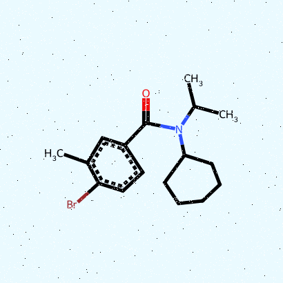 Cc1cc(C(=O)N(C(C)C)C2CCCCC2)ccc1Br